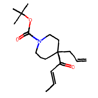 C=CCC1(C(=O)/C=C/C)CCN(C(=O)OC(C)(C)C)CC1